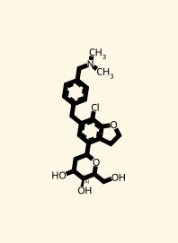 CN(C)Cc1ccc(Cc2cc(C3CC(O)[C@H](O)C(CO)O3)c3c(c2Cl)OCC3)cc1